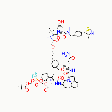 C/C(=C\C(=O)N[C@H]1CCc2cccc3c2N(C1=O)[C@H](C(=O)N[C@@H](CCC(N)=O)[C@@H](C)OCc1ccc(CCCOCC(=O)N[C@H](C(=O)N2C[C@H](O)C[C@H]2C(=O)NCc2ccc(-c4scnc4C)cc2)C(C)(C)C)cc1)C3)c1ccc(C(F)(F)P(=O)(OCOC(=O)C(C)(C)C)OCOC(=O)C(C)(C)C)cc1